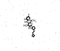 CO[C@H]1O[C@H](C2CCC(CCC3CCC3)C2)[C@H](O)[C@H](O)[C@@H]1Nc1ncc(F)cc1F